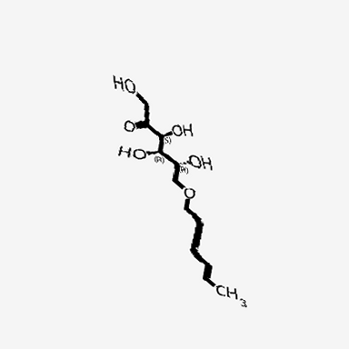 CC=CC=CCOC[C@@H](O)[C@@H](O)[C@H](O)C(=O)CO